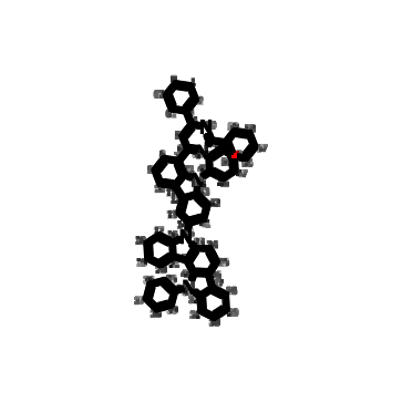 c1ccc(-c2cc(-c3cccc4c5cc(-n6c7ccccc7c7c6ccc6c8ccccc8n(-c8ccccc8)c67)ccc5n(-c5ccccc5)c34)nc(-c3ccccc3)n2)cc1